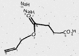 C=CCOC(=O)CCC(=O)O.[NaH].[NaH]